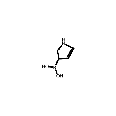 OB(O)C1C=CNC1